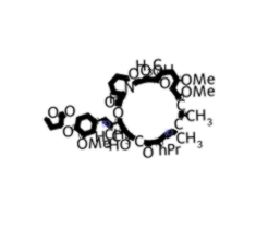 CCC[C@@H]1/C=C(\C)C[C@H](C)C[C@H](OC)C2O[C@@](O)(C(=O)C(=O)N3CCCC[C@H]3C(=O)O[C@H](/C(C)=C/[C@@H]3CC[C@@H](OC4CCOC4=O)[C@H](OC)C3)[C@H](C)[C@@H](O)CC1=O)[C@H](C)C[C@@H]2OC